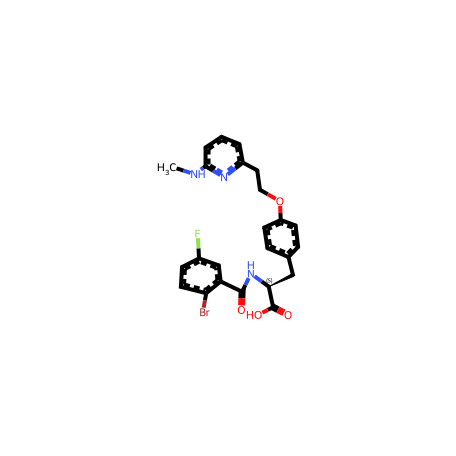 CNc1cccc(CCOc2ccc(C[C@H](NC(=O)c3cc(F)ccc3Br)C(=O)O)cc2)n1